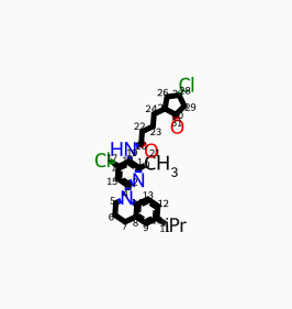 Cc1nc(N2CCCc3cc(C(C)C)ccc32)cc(Cl)c1NC(=O)CCCC1CC(Cl)CC1=O